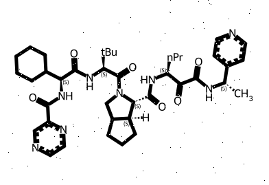 CCC[C@H](NC(=O)[C@@H]1[C@H]2CCCC2CN1C(=O)[C@@H](NC(=O)[C@@H](NC(=O)c1cnccn1)C1CCCCC1)C(C)(C)C)C(=O)C(=O)N[C@@H](C)c1ccncc1